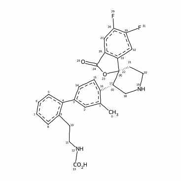 Cc1cc(-c2ccccc2CCNC(=O)O)ccc1[C@H]1CNCC[C@@]12OC(=O)c1cc(F)c(F)cc12